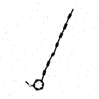 CC#CC#CC#CC#CC#CC#CC#Cc1cccc(OC)c1